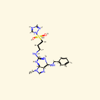 CC(C)n1cnc2c(NCc3ccccc3)nc(NCCCS(=O)(=O)n3cncn3)nc21